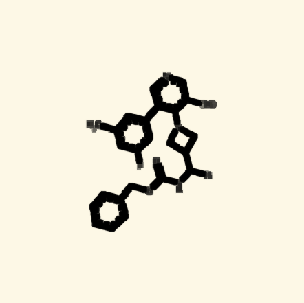 CCC(NC(=O)OCc1ccccc1)C1CN(c2c(C=O)cncc2-c2cc(C)cc(F)c2)C1